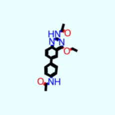 CCOc1nc(NC(C)=O)nc2ccc(-c3ccc(NC(C)=O)cc3)cc12